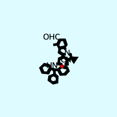 Cc1c(C=O)ccc2c1cc(C#N)n2CC1(c2ccc(NC(c3ccccc3)(c3ccccc3)c3ccccc3)nc2)CC1